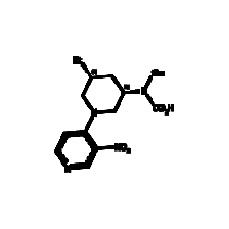 CC[C@@H]1C[C@H](N(C(=O)O)C(C)(C)C)CN(c2ccncc2[N+](=O)[O-])C1